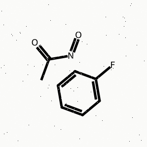 CC(=O)N=O.Fc1ccccc1